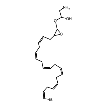 CC/C=C\C/C=C\C/C=C\C/C=C\C/C=C\C/C=C\CC1OC1OC(O)CN